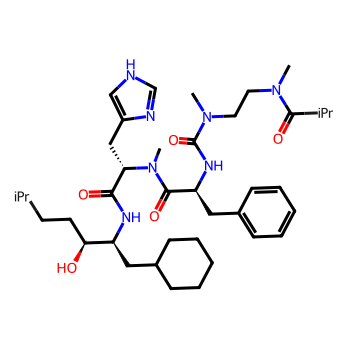 CC(C)CC[C@H](O)[C@H](CC1CCCCC1)NC(=O)[C@H](Cc1c[nH]cn1)N(C)C(=O)[C@H](Cc1ccccc1)NC(=O)N(C)CCN(C)C(=O)C(C)C